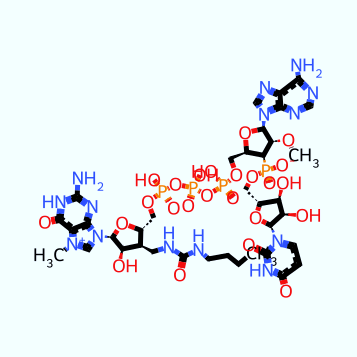 CCCCNC(=O)NC[C@H]1[C@@H](O)[C@H](n2c[n+](C)c3c(=O)[nH]c(N)nc32)O[C@@H]1COP(=O)(O)OP(=O)(O)OP(=O)(O)OC[C@H]1O[C@@H](n2cnc3c(N)ncnc32)[C@H](OC)[C@@H]1P(=O)([O-])OC[C@H]1O[C@@H](n2ccc(=O)[nH]c2=O)[C@H](O)[C@@H]1O